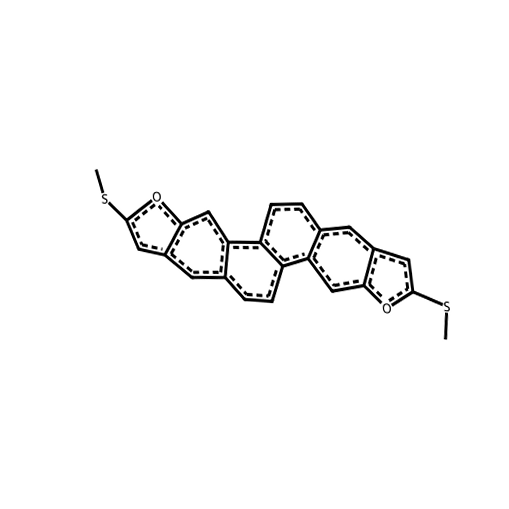 CSc1cc2cc3ccc4c5cc6oc(SC)cc6cc5ccc4c3cc2o1